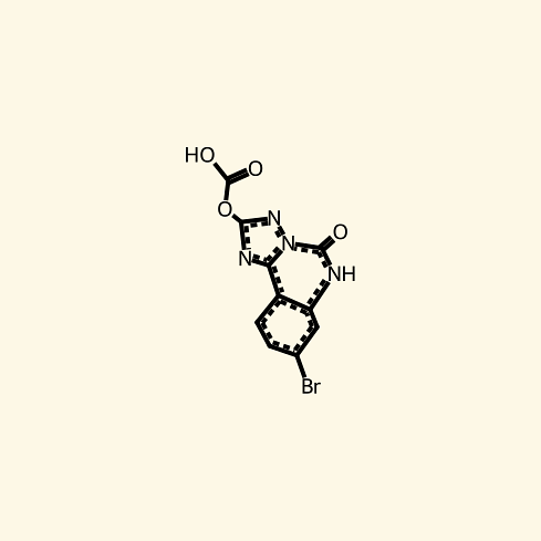 O=C(O)Oc1nc2c3ccc(Br)cc3[nH]c(=O)n2n1